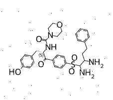 NC(CCc1ccccc1)C(N)S(=O)(=O)c1ccc(C(=O)[C@H](Cc2ccc(O)cc2)NC(=O)N2CCOCC2)cc1